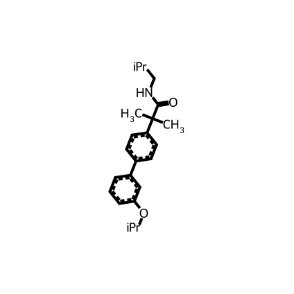 CC(C)CNC(=O)C(C)(C)c1ccc(-c2cccc(OC(C)C)c2)cc1